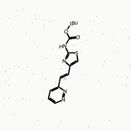 CC(C)(C)OC(=O)Nc1nc(/C=C/c2cccnn2)cs1